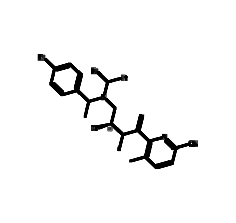 C=C(c1nc(C#N)ccc1C)C(C)[C@@H](CC)CN(C(CC)CC)C(C)c1ccc(CC)cc1